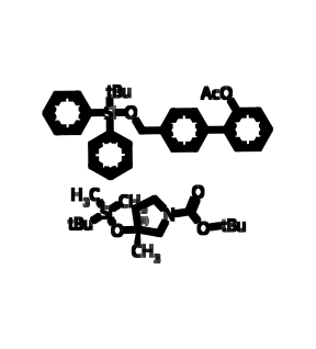 CC(=O)Oc1ccccc1-c1ccc(CO[Si](c2ccccc2)(c2ccccc2)C(C)(C)C)cc1.CC(C)(C)OC(=O)N1CC[C@@](C)(O[Si](C)(C)C(C)(C)C)C1